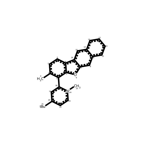 Cc1ccc2c(oc3cc4ccccc4cc32)c1-c1cc(C(C)(C)C)cc[n+]1C